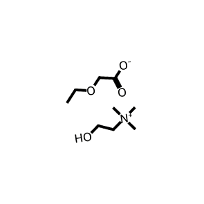 CCOCC(=O)[O-].C[N+](C)(C)CCO